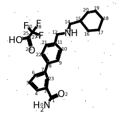 NC(=O)c1cccc(-c2ccc(CNCC3CCCCC3)cc2)c1.O=C(O)C(F)(F)F